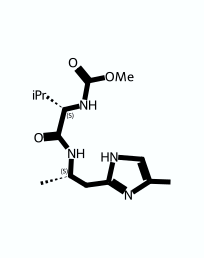 COC(=O)N[C@H](C(=O)N[C@@H](C)Cc1nc(C)c[nH]1)C(C)C